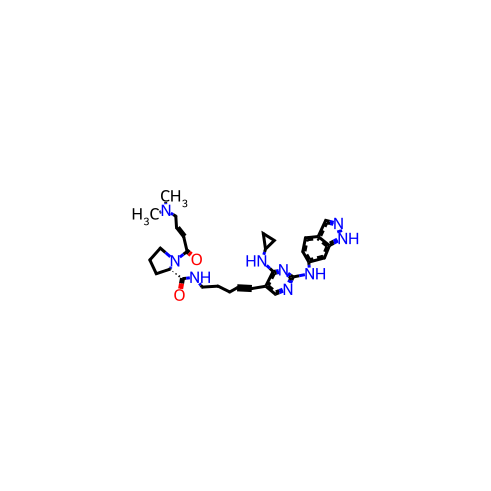 CN(C)C/C=C/C(=O)N1CCC[C@H]1C(=O)NCCCC#Cc1cnc(Nc2ccc3cn[nH]c3c2)nc1NC1CC1